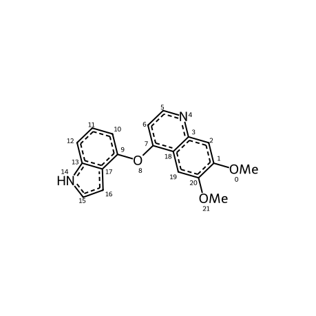 COc1cc2nccc(Oc3cccc4[nH]ccc34)c2cc1OC